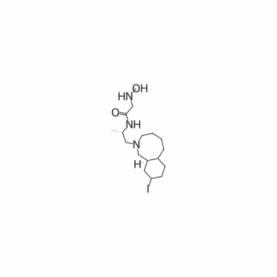 C[C@@H](CN1CCCCC2CCC(I)C[C@H]2C1)NC(=O)CNO